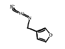 [N-]=[N+]=NCc1ccoc1